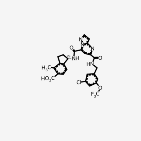 Cc1c(C(=O)O)ccc2c1CC[C@@H]2NC(=O)c1cc(C(=O)NCc2cc(Cl)cc(OC(F)(F)F)c2)nc2ccnn12